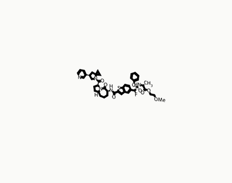 COCCOC(=O)[C@H](C)NP(=O)(Oc1ccccc1)[C@@H](F)c1ccc2sc(C(=O)N[C@H]3CCC[C@H]4CC[C@@H](C(=O)N5C[C@@H](c6cccnc6)CC56CC6)N4C3=O)cc2c1